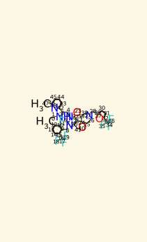 CCNC(CN1CN(Cc2c(F)cccc2C(F)(F)F)C2=C(C1=O)C1(CCN(Cc3ccc(C(F)(F)F)o3)CC1)OC2)c1cccc(C)n1